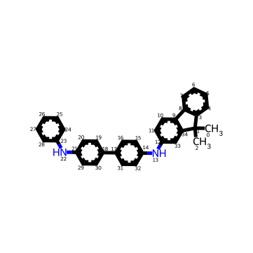 CC1(C)c2ccccc2-c2ccc(Nc3ccc(-c4ccc(Nc5ccccc5)cc4)cc3)cc21